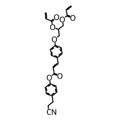 C=CC(=O)OCC(COc1ccc(/C=C/C(=O)Oc2ccc(CCC#N)cc2)cc1)OC(=O)C=C